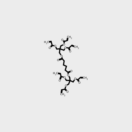 C=CC(=O)OCC(COC(=O)C=C)(COC(=O)C=C)COC(=O)CCCCC(=O)OCC(COC(=O)C=C)(COC(=O)C=C)COC(=O)C=C